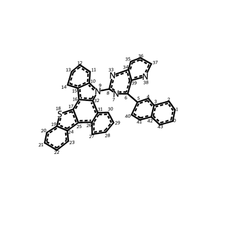 c1ccc2cc(-c3nc(-n4c5ccccc5c5c6sc7ccccc7c6c6ccccc6c54)nc4cccnc34)ccc2c1